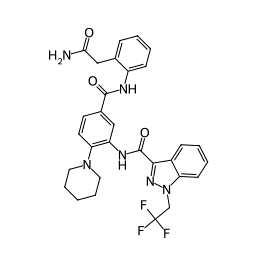 NC(=O)Cc1ccccc1NC(=O)c1ccc(N2CCCCC2)c(NC(=O)c2nn(CC(F)(F)F)c3ccccc23)c1